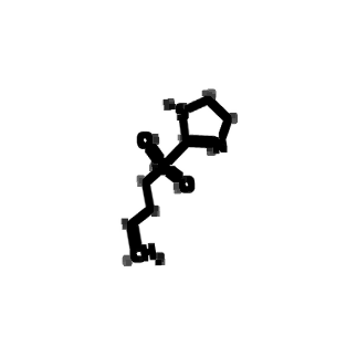 C=CCCS(=O)(=O)C1=NCCS1